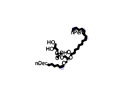 CCCCC/C=C\C/C=C\C/C=C\CCCCCCC(=O)O[C@H](CO/C=C\CCCCCCCCCCCCCC)COP(=O)(O)OC[C@@H](O)CO